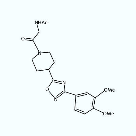 COc1ccc(-c2noc(C3CCN(C(=O)CNC(C)=O)CC3)n2)cc1OC